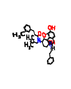 Cc1cccc(CCC(=O)N(CC(C)C)C2CC[C@@]3(O)[C@H]4Cc5ccc(O)c6c5[C@@]3(CCN4CCc3ccccc3)C2O6)c1